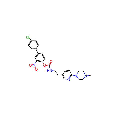 CN1CCN(c2ccc(CCNC(=O)Oc3ccc(-c4ccc(Cl)cc4)cc3[N+](=O)[O-])cn2)CC1